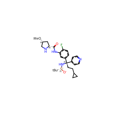 CO[C@H]1CN[C@@H](C(=O)Nc2cc([C@@](CCC3CC3)(N[S@+]([O-])C(C)(C)C)c3ccncc3)ccc2F)C1